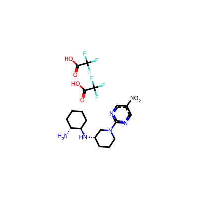 N[C@@H]1CCCC[C@H]1N[C@H]1CCCN(c2ncc([N+](=O)[O-])cn2)C1.O=C(O)C(F)(F)F.O=C(O)C(F)(F)F